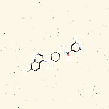 O=C(N[C@H]1CC[C@@H](Nc2ccnc3cc(Cl)ccc23)CC1)c1cc(Cl)nc(Cl)c1